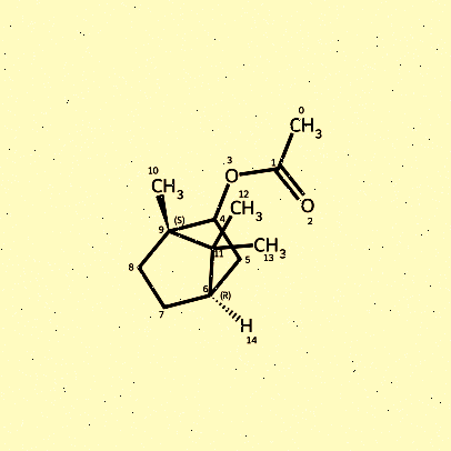 CC(=O)OC1C[C@H]2CC[C@@]1(C)C2(C)C